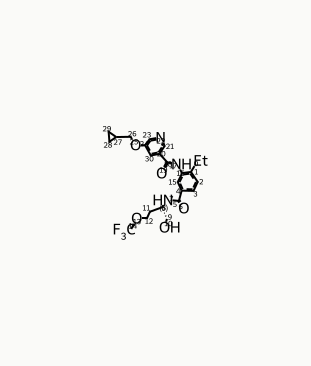 CCc1ccc(C(=O)N[C@H](CO)CCOC(F)(F)F)cc1NC(=O)c1cncc(OCC2CC2)c1